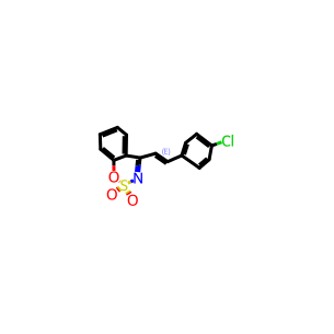 O=S1(=O)N=C(/C=C/c2ccc(Cl)cc2)c2ccccc2O1